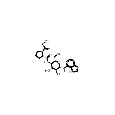 CC(C)(C)OC(=O)N1CCC[C@H]1C(=O)N[C@@H]1[C@@H](O)[C@H](O)[C@@H](Nc2ncnc3nc[nH]c23)O[C@H]1CO